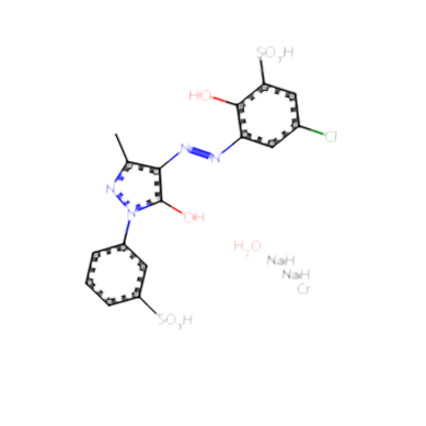 Cc1nn(-c2cccc(S(=O)(=O)O)c2)c(O)c1N=Nc1cc(Cl)cc(S(=O)(=O)O)c1O.O.[Cr].[NaH].[NaH]